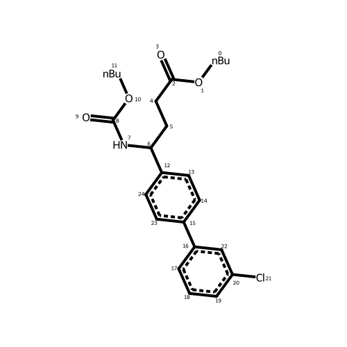 CCCCOC(=O)CCC(NC(=O)OCCCC)c1ccc(-c2cccc(Cl)c2)cc1